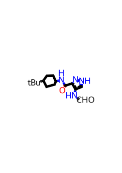 CC(C)(C)C1CCC(NC(=O)c2n[nH]cc2NC=O)CC1